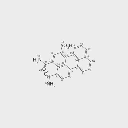 NC(=O)c1ccc2c3cccc4cccc(c5c(S(=O)(=O)O)cc(C(N)=O)c1c25)c43